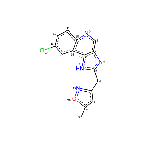 Cc1cc(Cc2nc3cnc4ccc(Cl)cc4c3[nH]2)no1